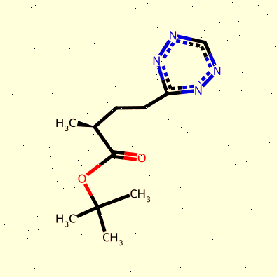 C[C@@H](CCc1nncnn1)C(=O)OC(C)(C)C